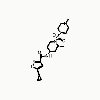 C[C@H]1C[C@@H](NC(=O)c2cc(C3CC3)on2)CCN1S(=O)(=O)N1CCN(C)CC1